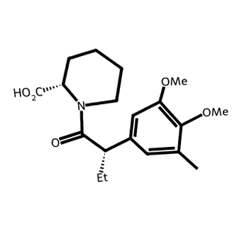 CC[C@H](C(=O)N1CCCC[C@H]1C(=O)O)c1cc(C)c(OC)c(OC)c1